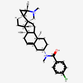 CN1C[C@]23CCC4[C@@H](CC=C5C[C@@H](N(C)C(=O)c6ccc(Br)cc6)CC[C@@]54C)[C@@H]2CC[C@@]32C[C@H]12